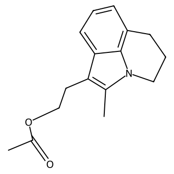 CC(=O)OCCc1c(C)n2c3c(cccc13)CCC2